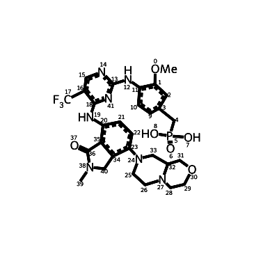 COc1cc(CP(=O)(O)O)ccc1Nc1ncc(C(F)(F)F)c(Nc2ccc(N3CCN4CCOCC4C3)c3c2C(=O)N(C)C3)n1